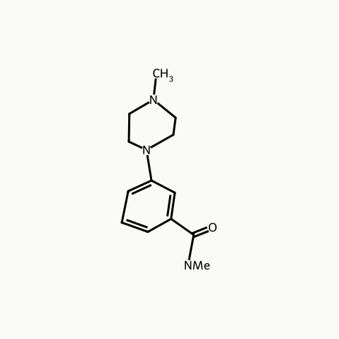 CNC(=O)c1cccc(N2CCN(C)CC2)c1